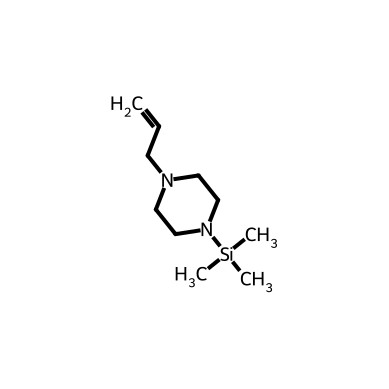 C=CCN1CCN([Si](C)(C)C)CC1